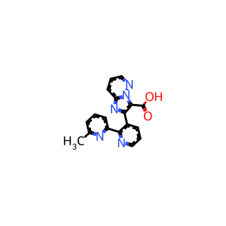 Cc1cccc(-c2ncccc2-c2nc3cccnn3c2C(=O)O)n1